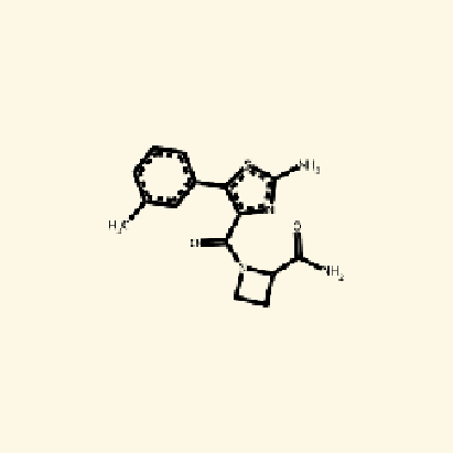 Cc1cccc(-c2sc(N)nc2C(=O)N2CCC2C(N)=O)c1